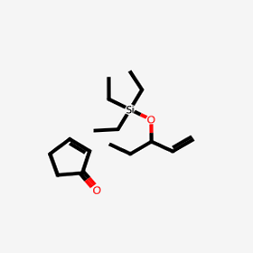 C=CC(CC)O[Si](CC)(CC)CC.O=C1C=CCC1